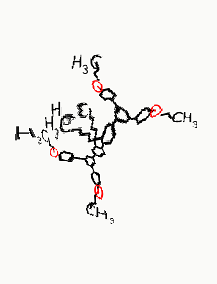 CCCCCCC1(CCCCCC)c2cc(-c3cc(-c4ccc(OCCCC)cc4)cc(-c4ccc(OCCCC)cc4)c3)ccc2-c2ccc(-c3cc(-c4ccc(OCCCC)cc4)cc(-c4ccc(OCCCC)cc4)c3)cc21